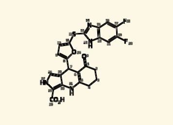 O=C1CCCC2=C1C(c1ccc(Sc3nc4cc(F)c(F)cc4[nH]3)o1)c1c[nH]c(C(=O)O)c1N2